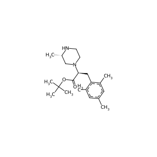 Cc1cc(C)c(C[C@@H](C(=O)OC(C)(C)C)N2CCN[C@@H](C)C2)c(C)c1